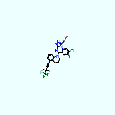 COCc1nnc2nc(N3CCCc4c(C#CC(C)(C)C(F)(F)F)cccc43)c3cc(F)c(Cl)cc3n12